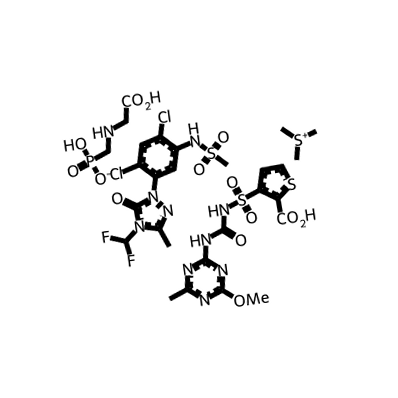 COc1nc(C)nc(NC(=O)NS(=O)(=O)c2ccsc2C(=O)O)n1.C[S+](C)C.Cc1nn(-c2cc(NS(C)(=O)=O)c(Cl)cc2Cl)c(=O)n1C(F)F.O=C(O)CNCP(=O)([O-])O